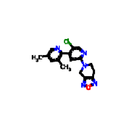 Cc1cnc(-c2cc(N3CCc4nonc4C3)ncc2Cl)c(C)c1